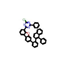 Clc1nc(-c2ccccc2)nc(-c2cccc3c2oc2cc(-c4ccccc4-c4ccc5ccccc5c4-c4ccccc4)ccc23)n1